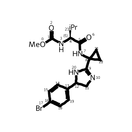 COC(=O)N[C@H](C(=O)NC1(C2=NCC(c3ccc(Br)cc3)N2)CC1)C(C)C